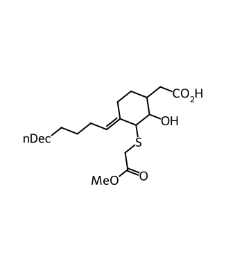 CCCCCCCCCCCCCC=C1CCC(CC(=O)O)C(O)C1SCC(=O)OC